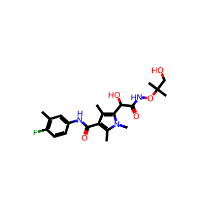 Cc1cc(NC(=O)c2c(C)c(C(O)C(=O)NOC(C)(C)CO)n(C)c2C)ccc1F